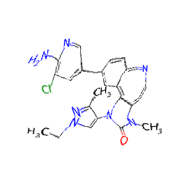 CCn1cc(-n2c(=O)n(C)c3cnc4ccc(-c5cnc(N)c(Cl)c5)cc4c32)c(C)n1